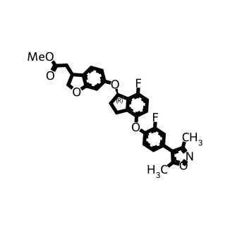 COC(=O)CC1COc2cc(O[C@@H]3CCc4c(Oc5ccc(-c6c(C)noc6C)cc5F)ccc(F)c43)ccc21